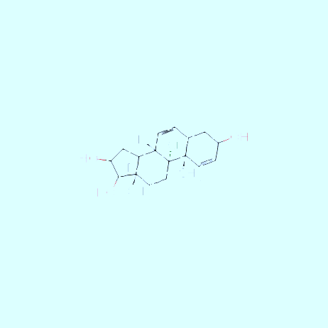 C[C@]12C=CC(O)CC1C=C[C@H]1[C@@H]3CC(O)C(O)[C@@]3(C)CC[C@]12Cl